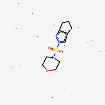 O=S(=O)(N1CCOCC1)n1cc2c(n1)CCC2